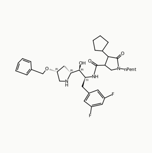 CCCCCN1CC(C(=O)N[C@@H](Cc2cc(F)cc(F)c2)[C@H](O)[C@H]2C[C@@H](OCc3ccccc3)CN2)C(C2CCCC2)C1=O